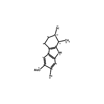 COc1cc2c3c([nH]c2cc1C(C)=O)C(C)N(C(C)=O)CC3